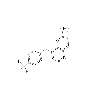 [CH2]c1ccc2nccc(Cc3ccc(C(F)(F)F)cc3)c2c1